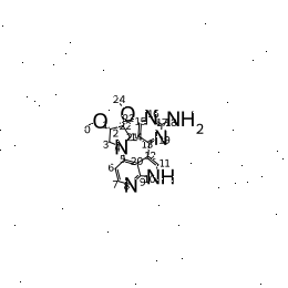 CO[C@H]1CN(c2ccnc3[nH]cc(-c4ccnc(N)n4)c23)C[C@H]1OC